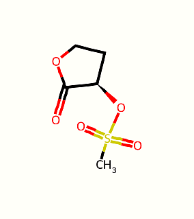 CS(=O)(=O)O[C@@H]1CCOC1=O